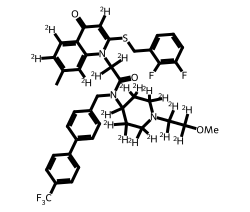 [2H]c1c(C)c([2H])c2c(c1[2H])c(=O)c([2H])c(SCc1cccc(F)c1F)n2C([2H])([2H])C(=O)N(Cc1ccc(-c2ccc(C(F)(F)F)cc2)cc1)C1([2H])C([2H])([2H])C([2H])([2H])N(C([2H])([2H])C([2H])([2H])OC)C([2H])([2H])C1([2H])[2H]